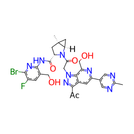 CC(=O)c1nn(CC(=O)N2[C@H](C(=O)Nc3nc(Br)c(F)cc3CO)C[C@@]3(C)C[C@@H]23)c2c(CO)nc(-c3cnc(C)nc3)cc12